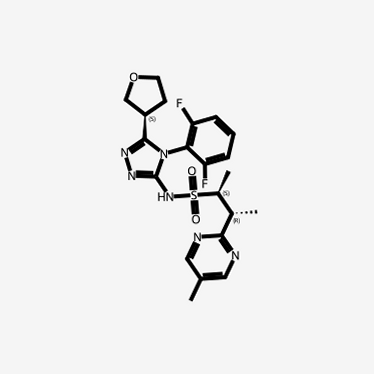 Cc1cnc([C@@H](C)[C@H](C)S(=O)(=O)Nc2nnc([C@@H]3CCOC3)n2-c2c(F)cccc2F)nc1